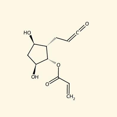 C=CC(=O)O[C@H]1[C@@H](CC=C=O)[C@H](O)C[C@@H]1O